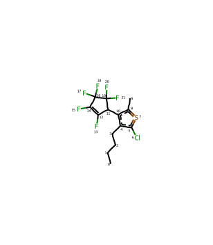 CCCCc1c(Cl)sc(C)c1C1C(F)=C(F)C(F)(F)C1(F)F